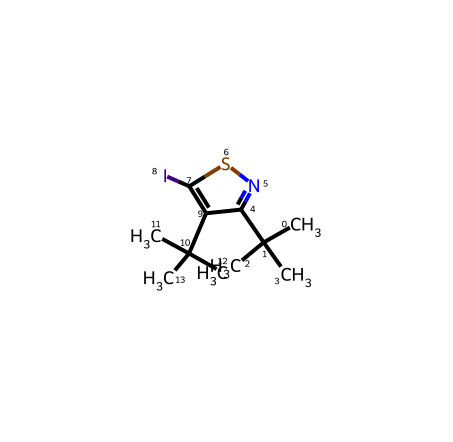 CC(C)(C)c1nsc(I)c1C(C)(C)C